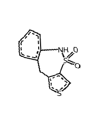 O=S1(=O)Nc2ccccc2Cc2cscc21